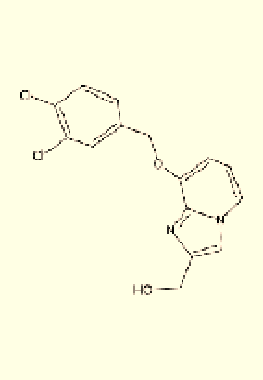 OCc1cn2cccc(OCc3ccc(Cl)c(Cl)c3)c2n1